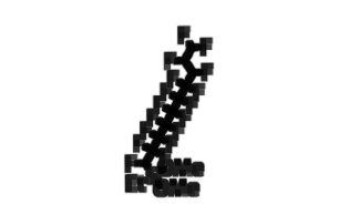 CC[Si](OC)(OC)C(F)C(F)(F)C(F)(F)C(F)(F)C(F)(F)C(F)(F)C(F)(F)C(F)C(F)C(F)F